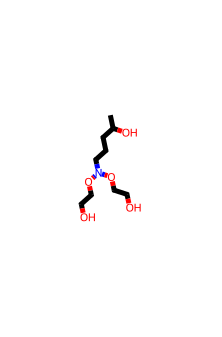 CC(O)CCCN(OCCO)OCCO